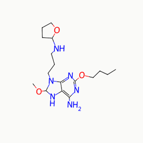 CCCCOc1nc(N)c2c(n1)N(CCCNC1CCCO1)C(OC)N2